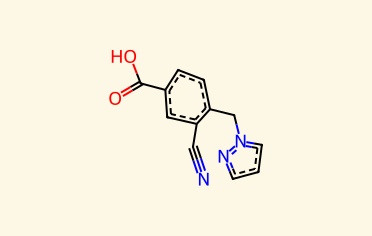 N#Cc1cc(C(=O)O)ccc1Cn1cccn1